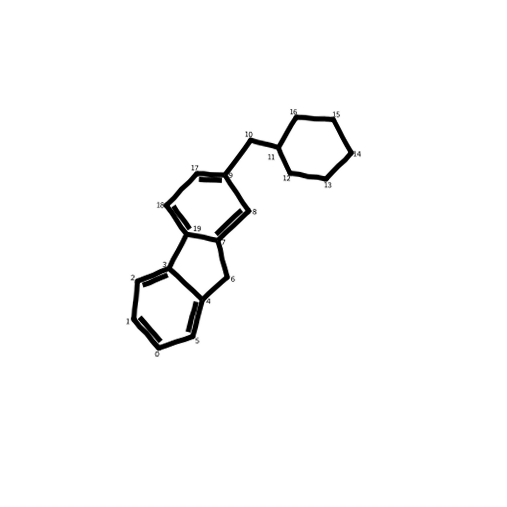 c1ccc2c(c1)Cc1cc(CC3CCCCC3)ccc1-2